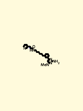 CNc1cc(-c2cccc(CCCCCCNC(=O)/C=C/c3cccnc3)c2)nc(N)n1